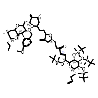 C=CCC[C@@H]1O[C@@H]([C@H](/C=C/C(=O)CC[C@H]2CC(=C)C(CCC3C[C@@H](C)C(=C)[C@@H](CC4OC5C[C@@H](C)[C@@H](CCC)O[C@H]5[C@H](C)[C@H]4OCc4ccc(OC)cc4)O3)O2)O[Si](C)(C)C(C)(C)C)[C@@H](O[Si](C)(C)C(C)(C)C)[C@@H](O[Si](C)(C)C(C)(C)C)[C@H]1O[Si](C)(C)C(C)(C)C